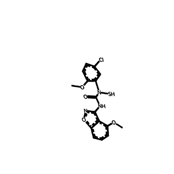 COc1ccc(Cl)cc1N(S)C(=O)Nc1noc2cccc(OC)c12